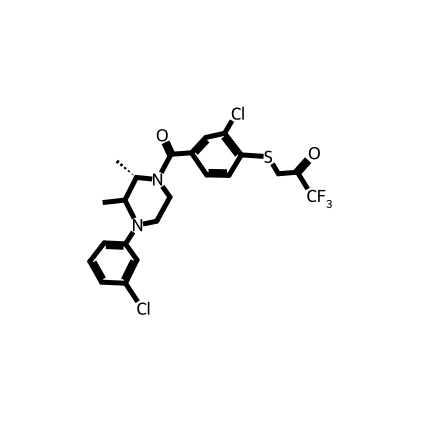 CC1[C@H](C)N(C(=O)c2ccc(SCC(=O)C(F)(F)F)c(Cl)c2)CCN1c1cccc(Cl)c1